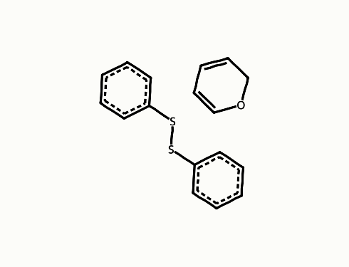 C1=CCOC=C1.c1ccc(SSc2ccccc2)cc1